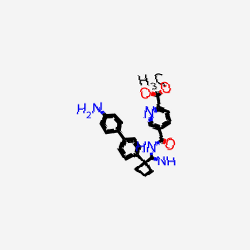 COC(=O)c1ccc(C(=O)NC(=N)C2(c3ccc(-c4ccc(N)cc4)cc3)CCC2)cn1